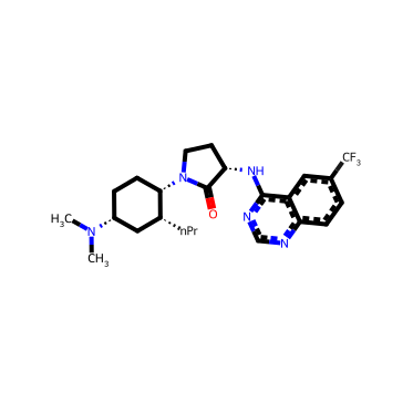 CCC[C@@H]1C[C@H](N(C)C)CC[C@@H]1N1CC[C@H](Nc2ncnc3ccc(C(F)(F)F)cc23)C1=O